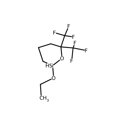 CCO[SiH]1CCCC(C(F)(F)F)(C(F)(F)F)O1